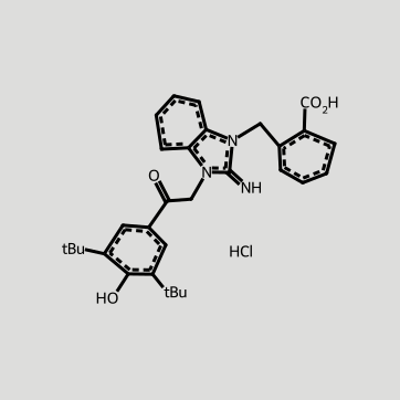 CC(C)(C)c1cc(C(=O)Cn2c(=N)n(Cc3ccccc3C(=O)O)c3ccccc32)cc(C(C)(C)C)c1O.Cl